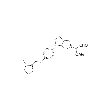 COC(C=O)N1CC2CCC(c3ccc(CCN4CCCC4C)cc3)C2C1